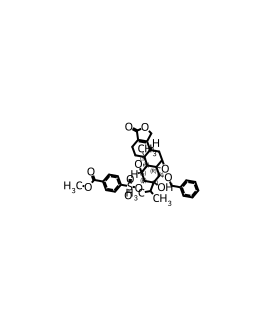 COC(=O)c1ccc(S(=O)(=O)O[C@@H]2[C@@H]3O[C@@]34[C@@]3(C)CCC5=C(COC5=O)[C@@H]3CC3O[C@@]34[C@H](OCc3ccccc3)[C@]2(O)C(C)C)cc1